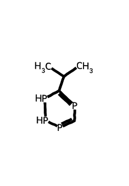 CC(C)C1=PC=PPP1